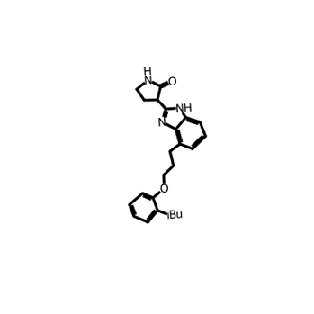 CCC(C)c1ccccc1OCCCc1cccc2[nH]c(C3CCNC3=O)nc12